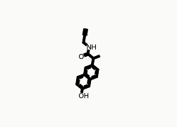 C#CCNC(=O)C(C)c1ccc2cc(O)ccc2c1